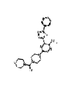 Nc1ncc(N2CCN(C(=O)N3CCOCC3)CC2)nc1-c1nnc(-c2ccccc2)o1